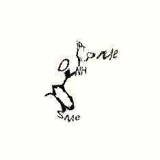 COC[C@@H](CC(C)C)NC(=O)c1ccc(SC)c(C)c1